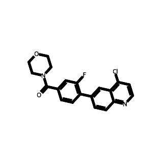 O=C(c1ccc(-c2ccc3nccc(Cl)c3c2)c(F)c1)N1CCOCC1